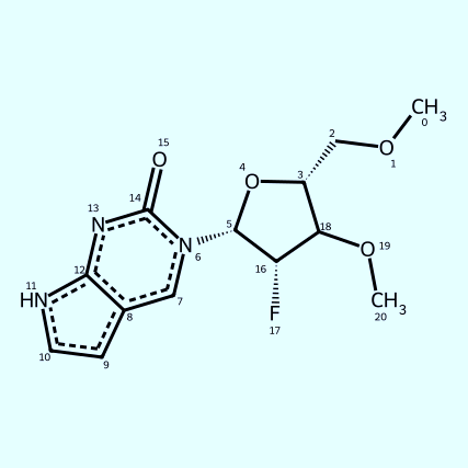 COC[C@H]1O[C@@H](n2cc3cc[nH]c3nc2=O)[C@@H](F)C1OC